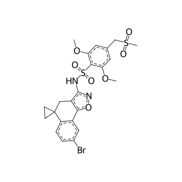 COc1cc(CS(C)(=O)=O)cc(OC)c1S(=O)(=O)Nc1noc2c1CC1(CC1)c1ccc(Br)cc1-2